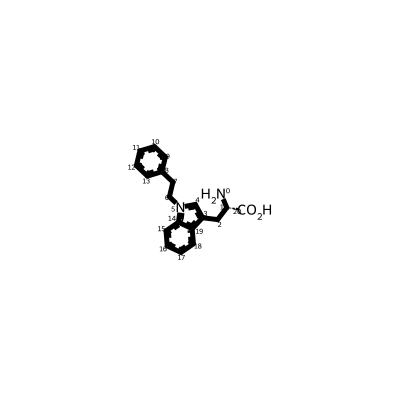 N[C@@H](Cc1cn(CCc2ccccc2)c2ccccc12)C(=O)O